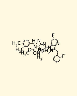 C=C(/N=C(/N)C(=C(N)N)N(Cc1ccc(C)c(C)c1)C(=O)OC)n1nc(Cc2ccccc2F)c2ncc(F)cc21